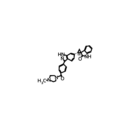 CN1CCN(C(=O)c2ccc(-c3n[nH]c4cc([C@@H]5CC56C(=O)Nc5ccccc56)ccc34)cc2)CC1